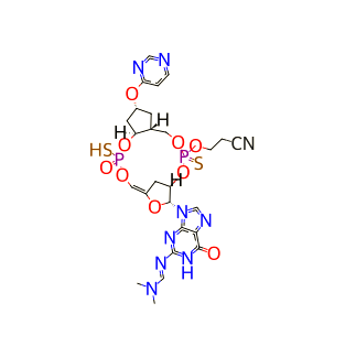 CN(C)/C=N/c1nc2c(ncn2[C@@H]2O/C3=C/OP(=O)(S)O[C@H]4C[C@H](Oc5ccncn5)C[C@@H]4COP(=S)(OCCC#N)O[C@@H]2C3)c(=O)[nH]1